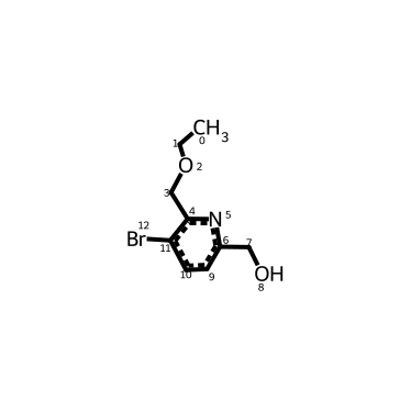 CCOCc1nc(CO)ccc1Br